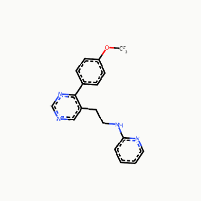 FC(F)(F)Oc1ccc(-c2n[c]ncc2CCNc2ccccn2)cc1